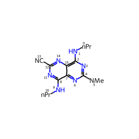 CCCNc1nc(NC)nc2c(NCCC)nc(C#N)nc12